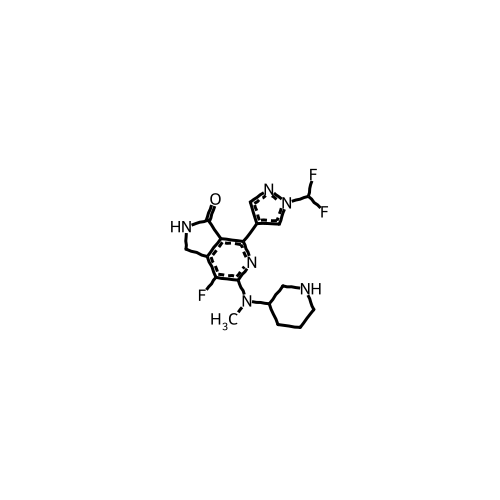 CN(c1nc(-c2cnn(C(F)F)c2)c2c(c1F)CNC2=O)C1CCCNC1